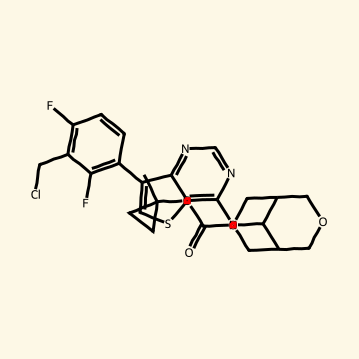 CC1(OC(=O)N2CC3COCC(C2)C3Oc2ncnc3c(-c4ccc(F)c(CCl)c4F)csc23)CC1